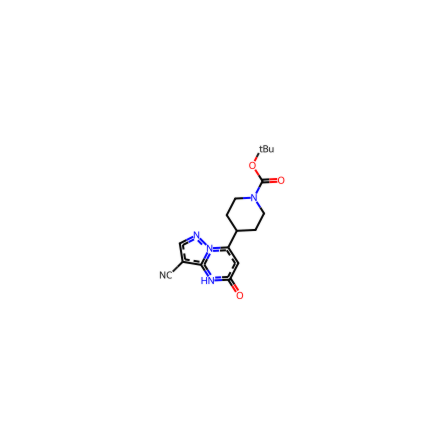 CC(C)(C)OC(=O)N1CCC(c2cc(=O)[nH]c3c(C#N)cnn23)CC1